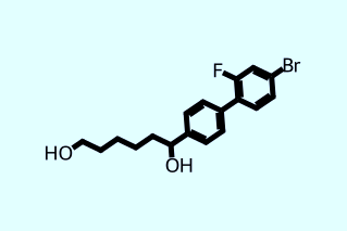 OCCCCCC(O)c1ccc(-c2ccc(Br)cc2F)cc1